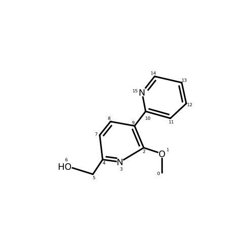 COc1nc(CO)ccc1-c1ccccn1